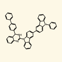 c1ccc(-c2ccc(C3NC(n4c5ccccc5c5cc(-c6ccc7c(c6)c6ccccc6n7-c6ccccc6)ccc54)=Nc4ccccc43)cc2)cc1